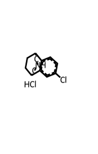 Cl.Clc1ccc2c(c1)C1CCC2CNC1